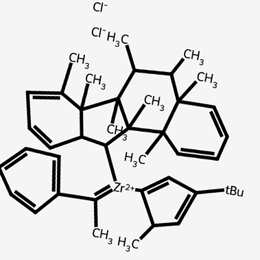 CC1=CC=CC2[CH](/[Zr+2]([C]3=CC(C(C)(C)C)=CC3C)=[C](/C)c3ccccc3)C3(C)C4(C)C=CC=CC4(C)C(C)C(C)C3(C)C12C.[Cl-].[Cl-]